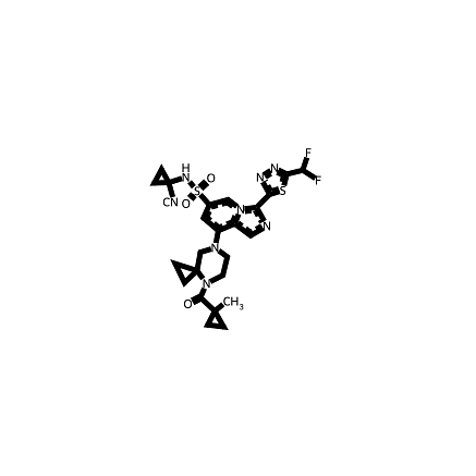 CC1(C(=O)N2CCN(c3cc(S(=O)(=O)NC4(C#N)CC4)cn4c(-c5nnc(C(F)F)s5)ncc34)CC23CC3)CC1